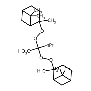 CCCC(OOC1(C)CCC2CC1C2(C)C)(OOC1(C)CCC2CC1C2(C)C)C(=O)O